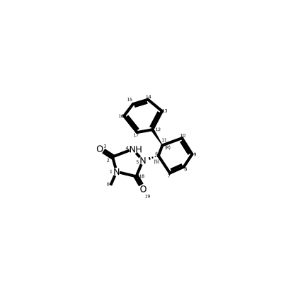 Cn1c(=O)[nH]n([C@H]2C=CC=C[C@@H]2c2ccccc2)c1=O